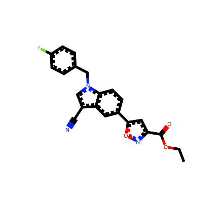 CCOC(=O)c1cc(-c2ccc3c(c2)c(C#N)cn3Cc2ccc(F)cc2)on1